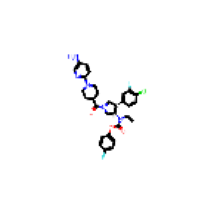 CCN(C(=O)Oc1ccc(F)cc1)[C@@H]1CN(C(=O)C2CCN(c3ccc(N)cn3)CC2)C[C@H]1c1ccc(Cl)c(F)c1